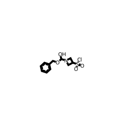 O=S(=O)(Cl)C1CN(C(O)OCc2ccccc2)C1